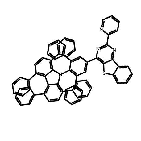 c1ccc(-c2cc(-c3nc(-c4ccccn4)nc4c3sc3ccccc34)cc(-c3ccccc3)c2-n2c3c(-c4ccccc4)ccc(-c4ccccc4)c3c3c(-c4ccccc4)ccc(-c4ccccc4)c32)cc1